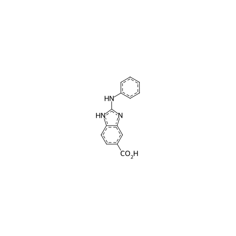 O=C(O)c1ccc2[nH]c(Nc3ccccc3)nc2c1